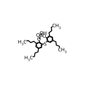 CCCCc1cc(CCCC)c2c(c1)Sc1cc(CCCC)cc(CCCC)c1OP(=O)(O)O2